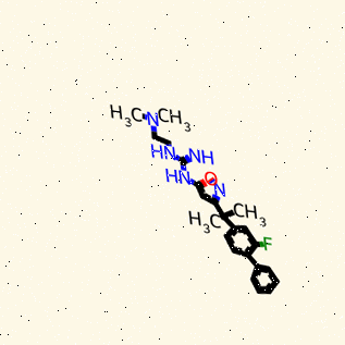 CN(C)CCNC(=N)Nc1cc(C(C)(C)c2ccc(-c3ccccc3)c(F)c2)no1